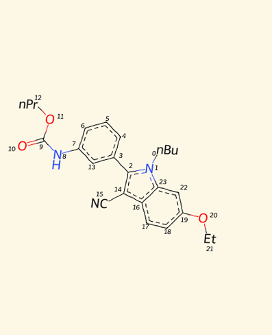 CCCCn1c(-c2cccc(NC(=O)OCCC)c2)c(C#N)c2ccc(OCC)cc21